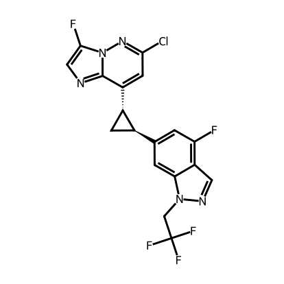 Fc1cc([C@H]2C[C@@H]2c2cc(Cl)nn3c(F)cnc23)cc2c1cnn2CC(F)(F)F